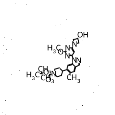 COc1nc(N2CC(O)C2)cc(-n2ncc3cc(C)c(C4CCN(C(=O)OC(C)(C)C)CC4)cc32)n1